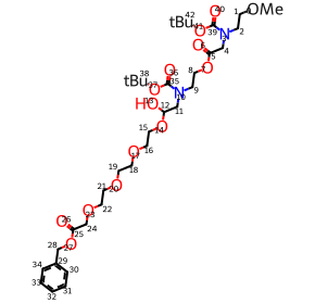 COCCN(CC(=O)OCCN(CC(O)OCCOCCOCCOCC(=O)OCc1ccccc1)C(=O)OC(C)(C)C)C(=O)OC(C)(C)C